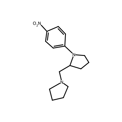 O=[N+]([O-])c1ccc(N2CCCC2CN2CCCC2)cc1